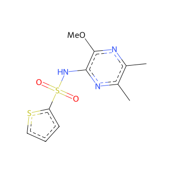 COc1nc(C)c(C)nc1NS(=O)(=O)c1cccs1